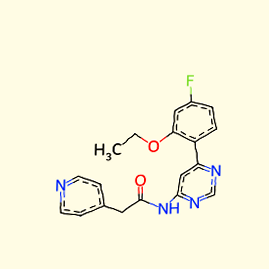 CCOc1cc(F)ccc1-c1cc(NC(=O)Cc2ccncc2)ncn1